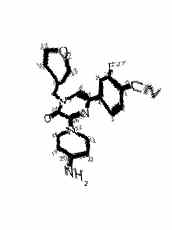 N#Cc1ccc(-c2cn(CC3CCOC3)c(=O)c(N3CCC(N)CC3)n2)cc1F